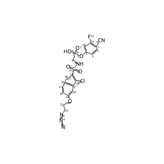 N#Cc1ccc(OP(=O)(O)CNS(=O)(=O)c2sc3ccc(OCCN=[N+]=[N-])cc3c2Cl)cc1F